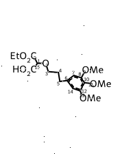 CCOC(=O)C(OCCCc1cc(OC)c(OC)c(OC)c1)C(=O)O